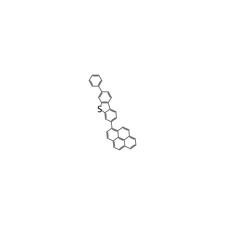 c1ccc(-c2ccc3c(c2)sc2cc(-c4ccc5ccc6cccc7ccc4c5c67)ccc23)cc1